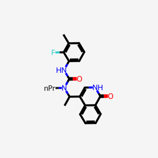 CCCN(C(=O)Nc1cccc(C)c1F)C(C)c1c[nH]c(=O)c2ccccc12